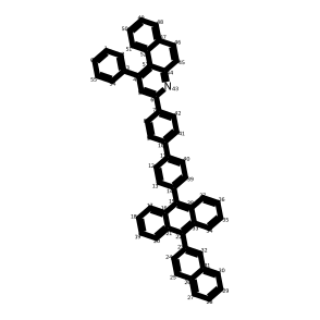 c1ccc(-c2cc(-c3ccc(-c4ccc(-c5c6ccccc6c(-c6ccc7ccccc7c6)c6ccccc56)cc4)cc3)nc3ccc4ccccc4c23)cc1